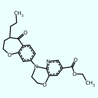 CCCC1CCOc2cc(N3CCOc4cc(C(=O)OCC)cnc43)ccc2C1=O